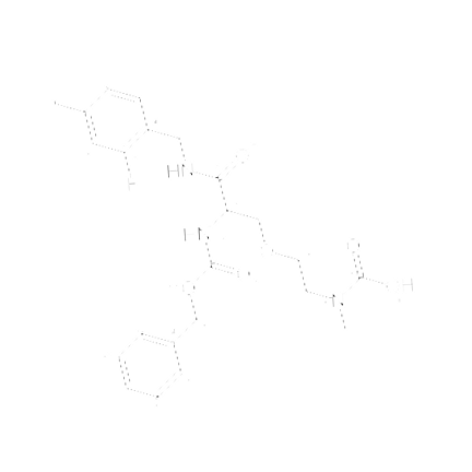 Cc1ccc(CNC(=O)C(COCCN(C)C(=O)O)NC(=O)OCc2ccccc2)c(F)c1